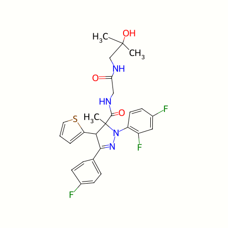 CC(C)(O)CNC(=O)CNC(=O)C1(C)C(c2cccs2)C(c2ccc(F)cc2)=NN1c1ccc(F)cc1F